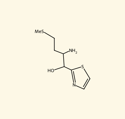 CSCCC(N)C(O)c1nccs1